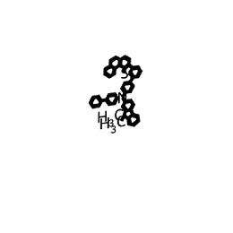 CC1(C)c2ccccc2-c2ccc(N(c3ccc(-c4ccccc4)cc3)c3ccc(-c4cccc5c4sc4c5ccc5ccc6ccccc6c54)cc3)cc21